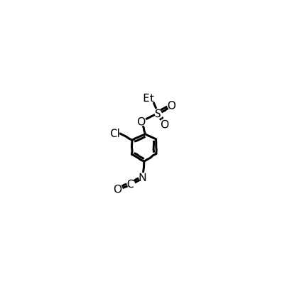 CCS(=O)(=O)Oc1ccc(N=C=O)cc1Cl